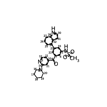 CS(=O)(=O)Nc1cc(C(=O)c2ccnc(N3CCCCC3)c2)cc(-c2cccc3[nH]ccc23)c1